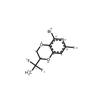 CC(F)(F)C1COc2c(cc(I)nc2Br)O1